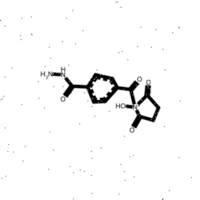 NNC(=O)c1ccc(C(=O)[N+]2(O)C(=O)CCC2=O)cc1